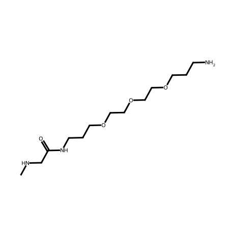 CNCC(=O)NCCCOCCOCCOCCCN